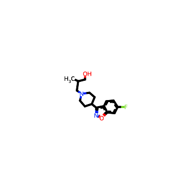 CC(CO)CN1CCC(c2noc3cc(F)ccc23)CC1